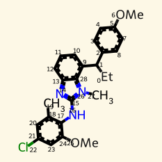 CCC(c1ccc(OC)cc1)c1cccc2nc(Nc3c(C)cc(Cl)cc3OC)n(C)c12